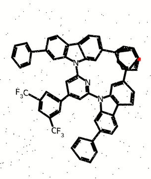 FC(F)(F)c1cc(-c2cc(-n3c4cc(-c5ccccc5)ccc4c4ccc(-c5ccccc5)cc43)nc(-n3c4cc(-c5ccccc5)ccc4c4ccc(-c5ccccc5)cc43)c2)cc(C(F)(F)F)c1